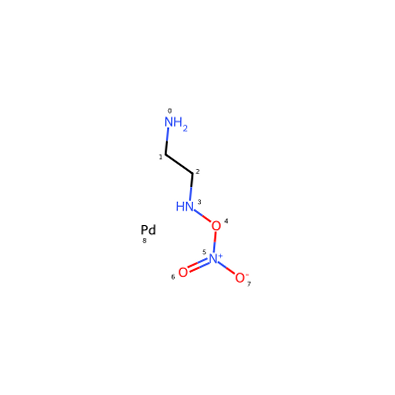 NCCNO[N+](=O)[O-].[Pd]